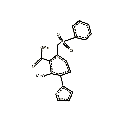 COC(=O)c1c(CS(=O)(=O)c2ccccc2)ccc(-c2cccs2)c1OC